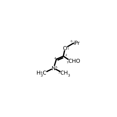 CC(C)O/C(C=O)=C/N(C)C